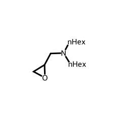 CCCCCCN(CCCCCC)CC1CO1